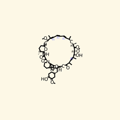 CO[C@H]1C[C@@H]2CC[C@@H](C)[C@@](O)(O2)C(=O)C(=O)N2CCC[C@@H]3C(C[C@@H]4CC[C@@H](O)[C@H](OC)C4)[C@H](CC(=O)C(C)/C=C(\C)[C@@H](O)[C@@H](OC)C(=O)[C@H](C)CC(C)/C=C/C=C/C=C/1C)OC(=O)[C@]32C